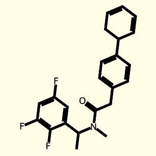 CC(c1cc(F)cc(F)c1F)N(C)C(=O)Cc1ccc(C2C=CC=CC2)cc1